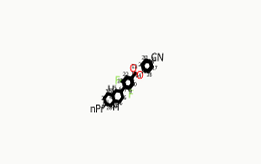 CCC[C@H]1CC[C@@H]2CC(c3c(F)cc(C(=O)Oc4ccc(C#N)cc4)cc3F)CC[C@H]2C1